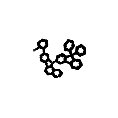 Brc1ccccc1-c1ccc2c3ccc4ccccc4c3n(-c3ccc4c(c3)-c3ccccc3C4(c3ccccc3)c3ccccc3)c2c1